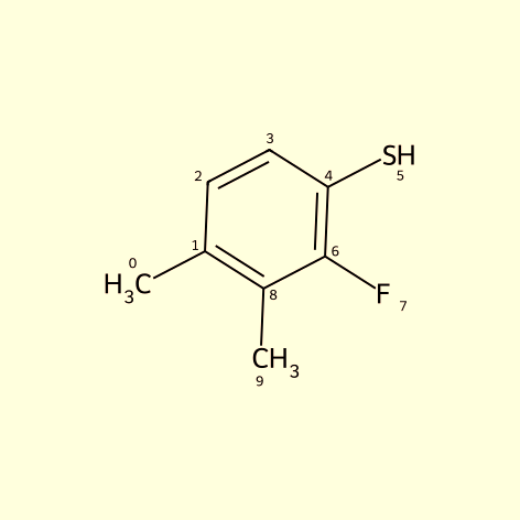 Cc1ccc(S)c(F)c1C